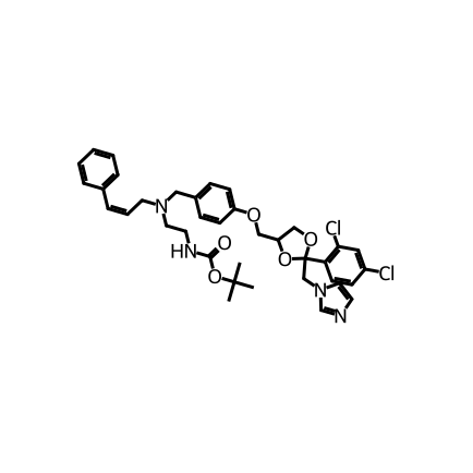 CC(C)(C)OC(=O)NCCN(C/C=C\c1ccccc1)Cc1ccc(OCC2COC(Cn3ccnc3)(c3ccc(Cl)cc3Cl)O2)cc1